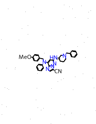 COc1ccc(CN(c2ccccc2)c2cc(N[C@H]3CCCN(Cc4ccccc4)C3)nn3c(C#N)cnc23)cc1